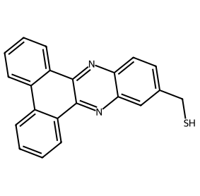 SCc1ccc2nc3c4ccccc4c4ccccc4c3nc2c1